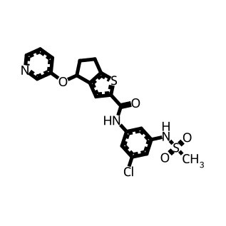 CS(=O)(=O)Nc1cc(Cl)cc(NC(=O)c2cc3c(s2)CCC3Oc2cccnc2)c1